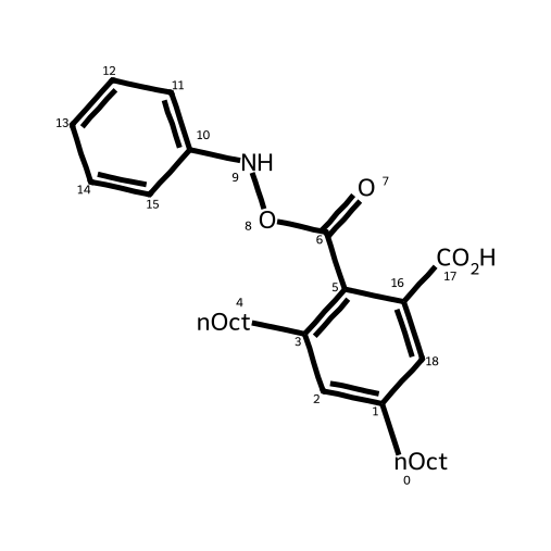 CCCCCCCCc1cc(CCCCCCCC)c(C(=O)ONc2ccccc2)c(C(=O)O)c1